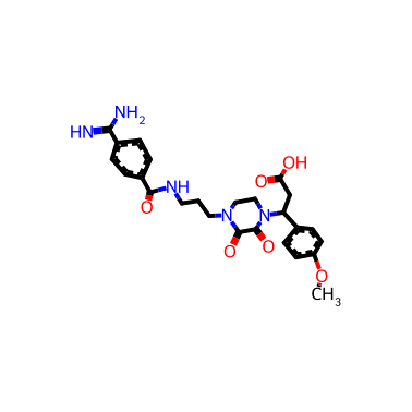 COc1ccc(C(CC(=O)O)N2CCN(CCCNC(=O)c3ccc(C(=N)N)cc3)C(=O)C2=O)cc1